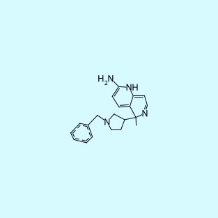 CC1(C2CCN(Cc3ccccc3)C2)N=CC=C2NC(N)=CC=C21